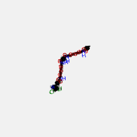 Cc1ccc(S(=O)(=O)NCCOCCOCCOCCNC(=O)c2ccc(C(=O)NCCOCCOCCOCCNS(=O)(=O)c3ccc([C@@H]4CN(C)Cc5c(Cl)cc(Cl)cc54)cc3)cc2)cc1